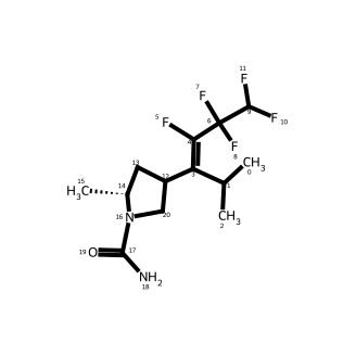 CC(C)C(=C(F)C(F)(F)C(F)F)C1C[C@@H](C)N(C(N)=O)C1